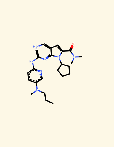 C=C(/N=C1\C(=C/N)C=C(C(=O)N(C)C)N1C1CCCC1)Nc1ccc(N(C)CCC)cn1